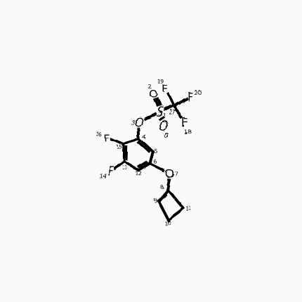 O=S(=O)(Oc1cc(OC2CCC2)cc(F)c1F)C(F)(F)F